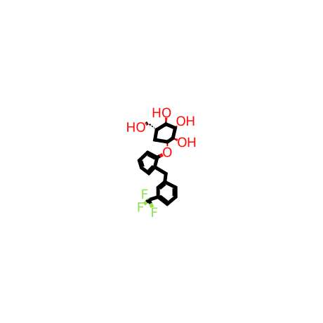 OC[C@H]1C[C@@H](Oc2ccccc2Cc2cccc(C(F)(F)F)c2)[C@H](O)[C@@H](O)[C@@H]1O